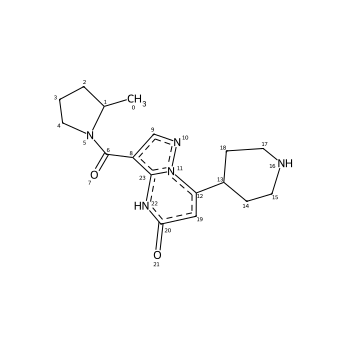 CC1CCCN1C(=O)c1cnn2c(C3CCNCC3)cc(=O)[nH]c12